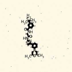 C[C@@H]1CN(c2cccc(-c3csc(NC(=O)CNC(=O)c4cccc(C(C)(C)C)c4)n3)c2)C[C@H](C)O1